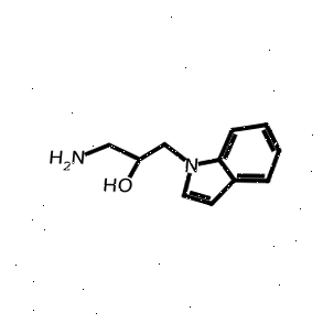 NCC(O)Cn1ccc2ccccc21